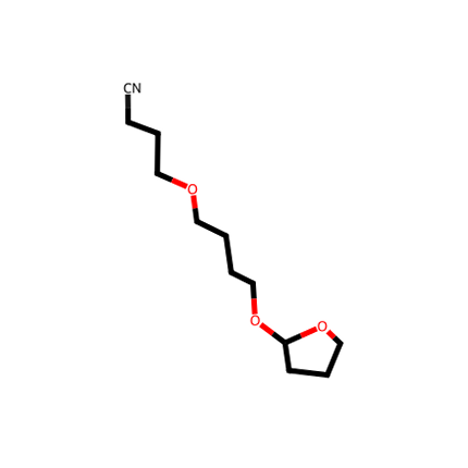 N#CCCCOCCCCOC1CCCO1